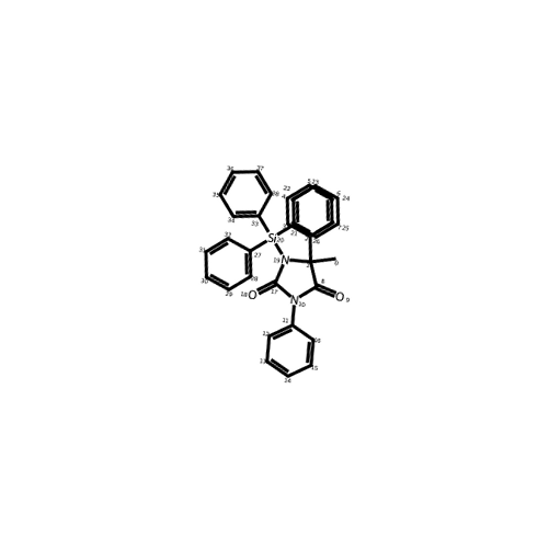 CC1(c2ccccc2)C(=O)N(c2ccccc2)C(=O)N1[Si](c1ccccc1)(c1ccccc1)c1ccccc1